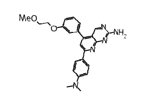 COCCOc1cccc(-c2cc(-c3ccc(N(C)C)cc3)nc3nc(N)ncc23)c1